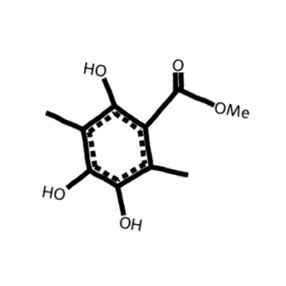 COC(=O)c1c(C)c(O)c(O)c(C)c1O